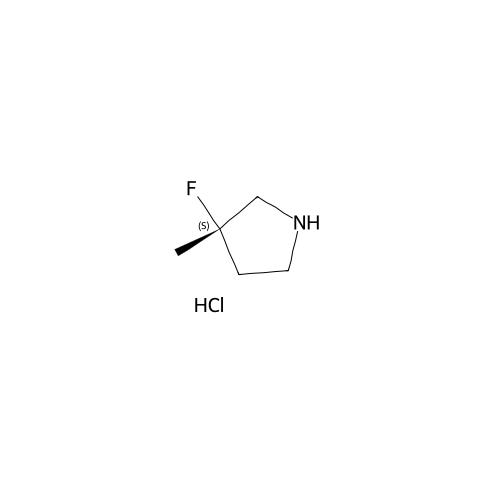 C[C@]1(F)CCNC1.Cl